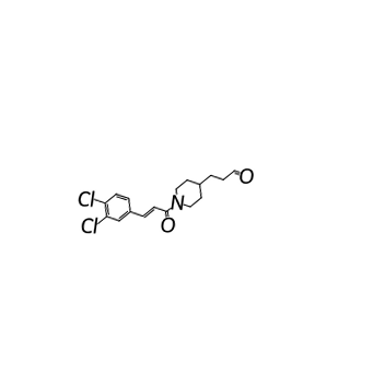 O=CCCC1CCN(C(=O)C=Cc2ccc(Cl)c(Cl)c2)CC1